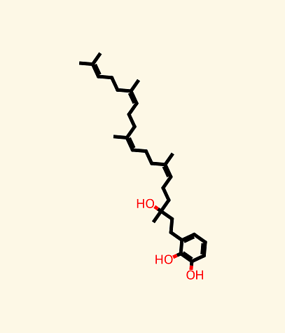 CC(C)=CCCC(C)=CCCC(C)=CCCC(C)=CCCC(C)(O)CCc1cccc(O)c1O